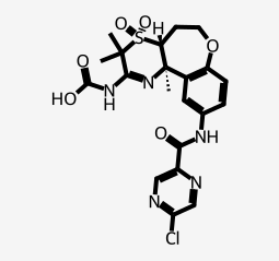 CC1(C)C(NC(=O)O)=N[C@]2(C)c3cc(NC(=O)c4cnc(Cl)cn4)ccc3OCC[C@H]2S1(=O)=O